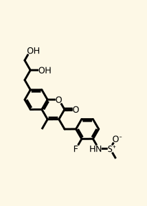 Cc1c(Cc2cccc(N[S+](C)[O-])c2F)c(=O)oc2cc(CC(O)CO)ccc12